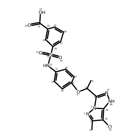 Cc1nn2c(C(C)Oc3ccc(NS(=O)(=O)c4cccc(C(=O)O)c4)cc3)n[nH]c2c1Cl